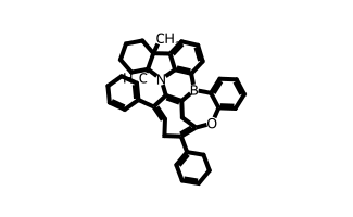 CC12CCCCC1(C)N1C3=C4C/C(=C(/C5=CC=CCC5)C/C=C/3C3=CCCC=C3)Oc3ccccc3B4c3cccc2c31